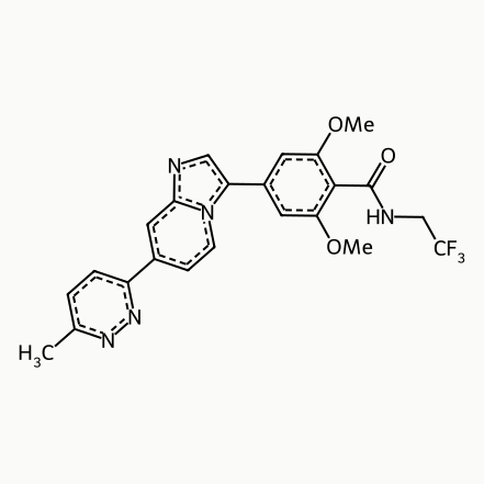 COc1cc(-c2cnc3cc(-c4ccc(C)nn4)ccn23)cc(OC)c1C(=O)NCC(F)(F)F